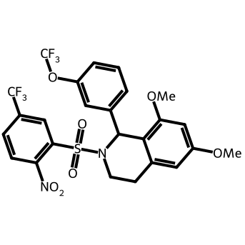 COc1cc2c(c(OC)c1)C(c1cccc(OC(F)(F)F)c1)N(S(=O)(=O)c1cc(C(F)(F)F)ccc1[N+](=O)[O-])CC2